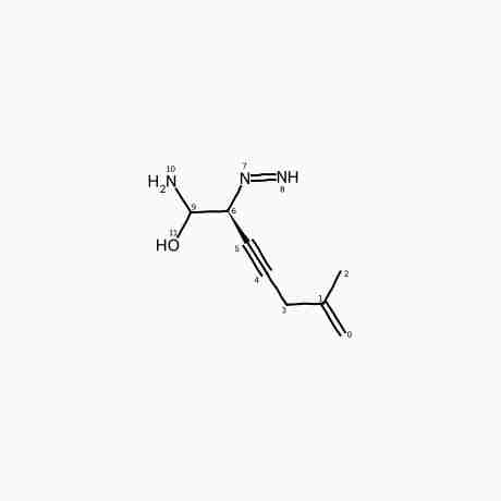 C=C(C)CC#C[C@H](N=N)C(N)O